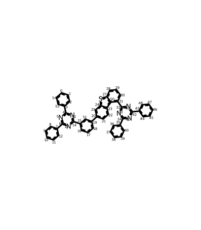 c1ccc(-c2nc(-c3ccccc3)nc(-c3cccc(-c4ccc5c(c4)sc4cccc(-c6nc(-c7ccccc7)nc(-c7ccccc7)n6)c45)c3)n2)cc1